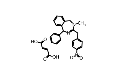 CN1Cc2ccccc2C(c2ccccc2)N=C1Cc1ccc([N+](=O)[O-])cc1.O=C(O)C=CC(=O)O